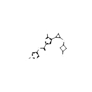 Cc1sc(C(=O)Nc2cnn(C)c2)cc1C1CC1NC1CC(N)C1